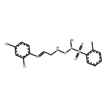 Cc1ccccc1S(=O)(=O)N(SNCC=Nc1ccc(Cl)cc1Cl)C(C)C